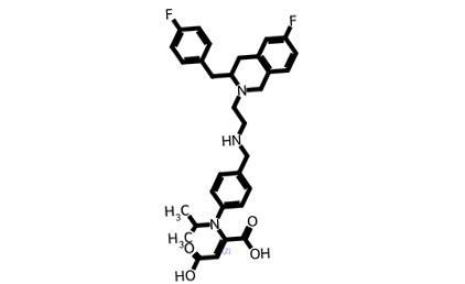 CC(C)N(/C(=C\C(=O)O)C(=O)O)c1ccc(CNCCN2Cc3ccc(F)cc3CC2Cc2ccc(F)cc2)cc1